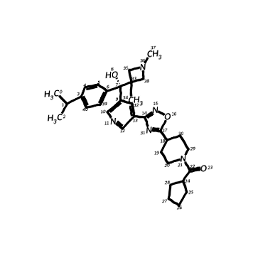 CC(C)c1ccc([C@](O)(c2cncc(-c3noc(C4CCN(C(=O)C5CCCC5)CC4)n3)c2)C2(C)CN(C)C2)cc1